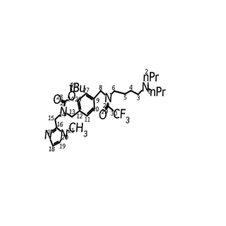 CCCN(CCC)CCCCN(Cc1ccc(CN(Cc2nccn2C)C(=O)OC(C)(C)C)cc1)C(=O)C(F)(F)F